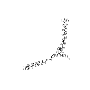 CCC(CO)(COCCCSCCOCCOCCS)COCCCSCCOCCOCCS